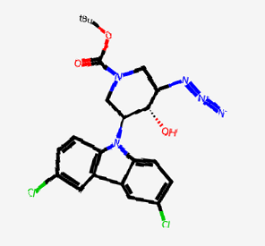 CC(C)(C)OC(=O)N1CC(N=[N+]=[N-])[C@H](O)[C@@H](n2c3ccc(Cl)cc3c3cc(Cl)ccc32)C1